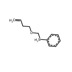 C=CCCOC[SiH2]c1ccccc1